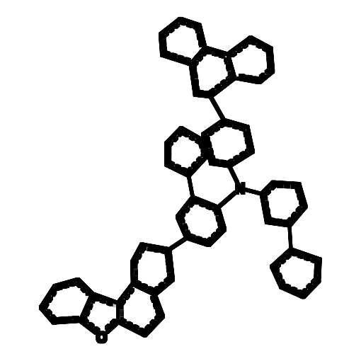 c1ccc(-c2cccc(N(c3ccc(-c4cc5ccccc5c5ccccc45)cc3)c3ccc(-c4ccc5c(ccc6oc7ccccc7c65)c4)cc3-c3ccccc3)c2)cc1